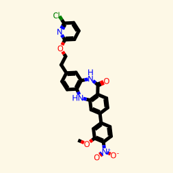 COc1cc(-c2ccc3c(c2)Nc2ccc(CCOc4cccc(Cl)n4)cc2NC3=O)ccc1[N+](=O)[O-]